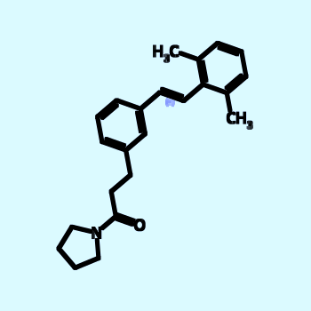 Cc1cccc(C)c1/C=C/c1cccc(CCC(=O)N2CCCC2)c1